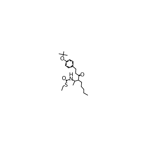 CCCCCC(C(=O)CCc1ccc(OC(C)(C)C)cc1)C(C)NC(=O)SCC